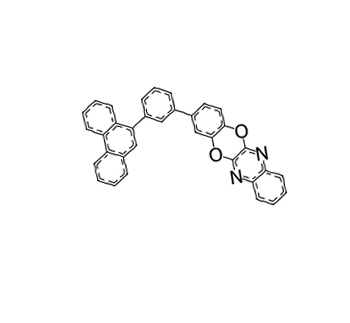 c1cc(-c2ccc3c(c2)Oc2nc4ccccc4nc2O3)cc(-c2cc3ccccc3c3ccccc23)c1